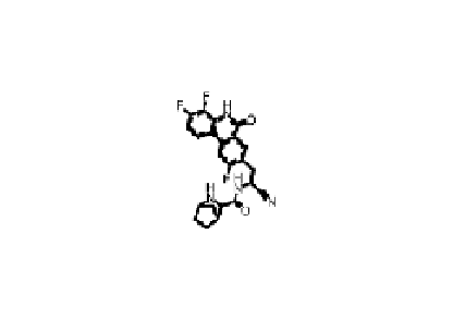 N#CC(Cc1cc2c(=O)[nH]c3c(F)c(F)ccc3c2cc1F)NC(=O)C1NC2CCC1C2